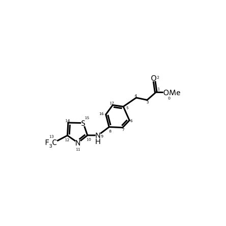 COC(=O)CCc1ccc(Nc2nc(C(F)(F)F)cs2)cc1